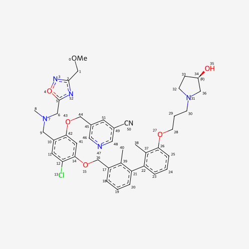 COCc1noc(CN(C)Cc2cc(Cl)c(OCc3cccc(-c4cccc(OCCCN5CC[C@@H](O)C5)c4C)c3C)cc2OCc2cncc(C#N)c2)n1